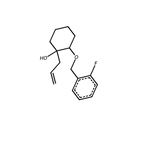 C=CCC1(O)CCCCC1OCc1ccccc1F